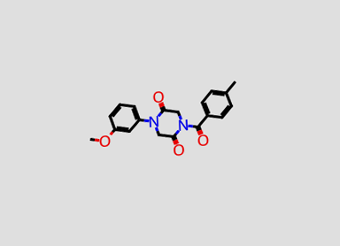 COc1cccc(N2CC(=O)N(C(=O)c3ccc(C)cc3)CC2=O)c1